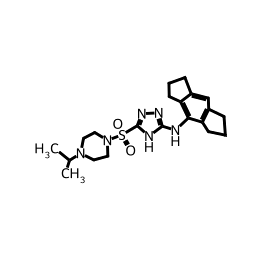 CC(C)N1CCN(S(=O)(=O)c2nnc(Nc3c4c(cc5c3CCC5)CCC4)[nH]2)CC1